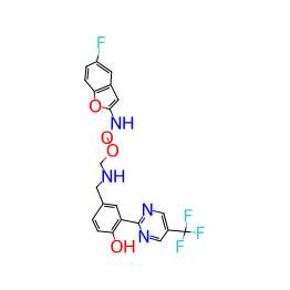 Oc1ccc(CNCOONc2cc3cc(F)ccc3o2)cc1-c1ncc(C(F)(F)F)cn1